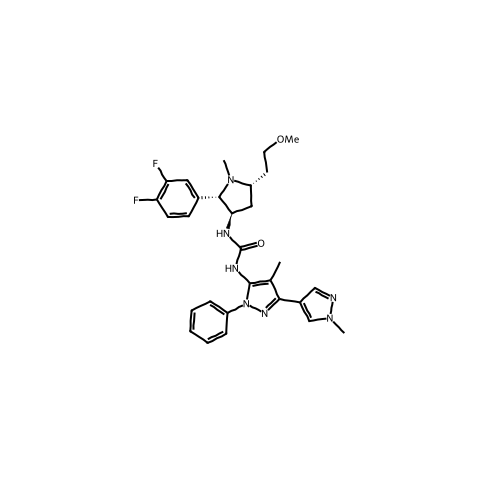 COCC[C@@H]1C[C@@H](NC(=O)Nc2c(C)c(-c3cnn(C)c3)nn2-c2ccccc2)[C@H](c2ccc(F)c(F)c2)N1C